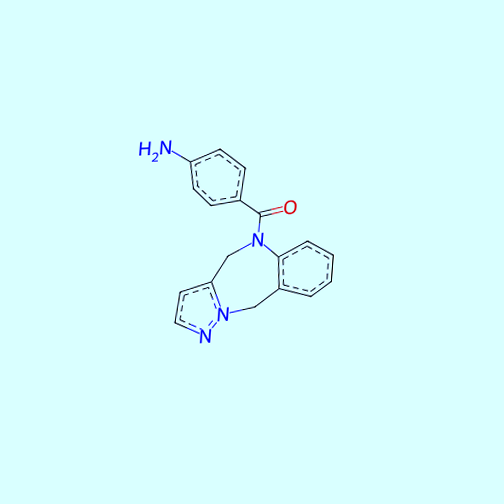 Nc1ccc(C(=O)N2Cc3ccnn3Cc3ccccc32)cc1